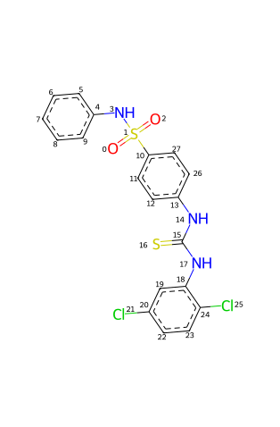 O=S(=O)(Nc1ccccc1)c1ccc(NC(=S)Nc2cc(Cl)ccc2Cl)cc1